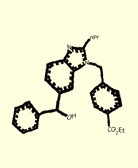 CCCc1nc2ccc(C(O)c3ccccc3)cc2n1Cc1ccc(C(=O)OCC)cc1